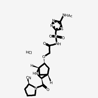 CC(=O)Nc1nnc(S(=O)(=O)NC(=O)CO[C@@H]2C[C@H]3C[C@@H]2N[C@@H]3C(=O)N2CCC[C@H]2C#N)s1.Cl